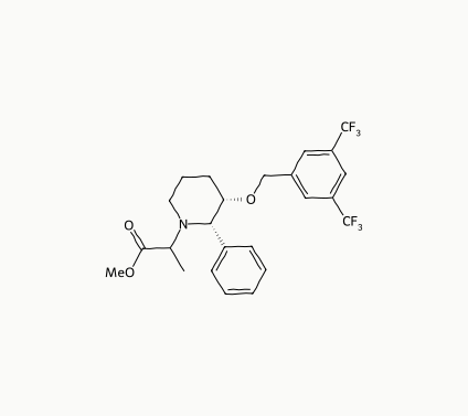 COC(=O)C(C)N1CCC[C@H](OCc2cc(C(F)(F)F)cc(C(F)(F)F)c2)[C@@H]1c1ccccc1